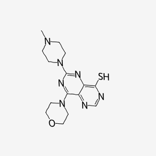 CN1CCN(c2nc(N3CCOCC3)c3ncnc(S)c3n2)CC1